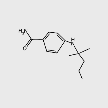 CCCC(C)(C)Nc1ccc(C(N)=O)cc1